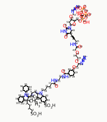 CC1(CCCCS(=O)(=O)O)C(/C=C/C=C2/N(CCCCCC(=O)NCCNC(=O)c3cccc(OCC(N=[N+]=[N-])OCCOCC(=O)NCC#Cc4cn(C5CC(OCN=[N+]=[N-])C(COP(=O)(O)OP(=O)(O)OP(=O)(O)O)O5)c(=O)[nH]c4=O)c3)c3ccc(S(=O)(=O)O)cc3C2(C)C)=[N+](c2ccccc2)c2ccccc21